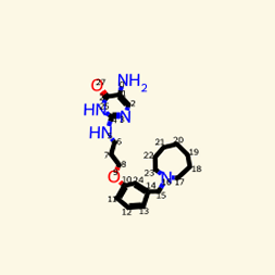 Nc1cnc(NCCCOc2cccc(CN3CCCCCCC3)c2)[nH]c1=O